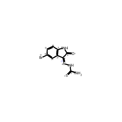 NC(=S)N/N=C1\C(=O)Nc2ccc(Br)cc21